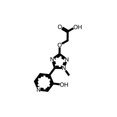 Cn1nc(OCC(=O)O)nc1-c1ccncc1O